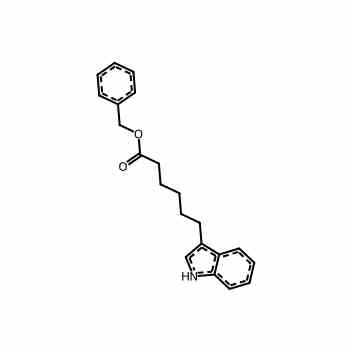 O=C(CCCCCc1c[nH]c2ccccc12)OCc1ccccc1